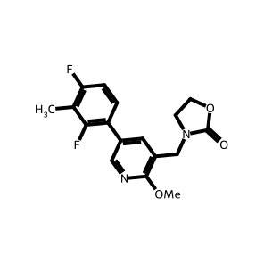 COc1ncc(-c2ccc(F)c(C)c2F)cc1CN1CCOC1=O